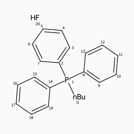 CCCC[P](c1ccccc1)(c1ccccc1)c1ccccc1.F